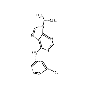 CC(C)n1cnc2c(Nc3cccc(Cl)c3)ncnc21